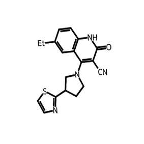 CCc1ccc2[nH]c(=O)c(C#N)c(N3CCC(c4nccs4)C3)c2c1